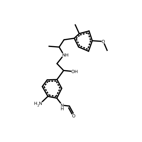 COc1ccc(CC(C)NCC(O)c2ccc(N)c(NC=O)c2)c(C)c1